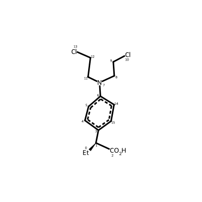 CC[C@H](C(=O)O)c1ccc(N(CCCl)CCCl)cc1